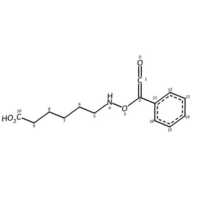 O=C=C(ONCCCCCC(=O)O)c1ccccc1